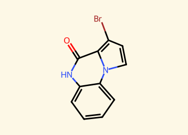 O=c1[nH]c2ccccc2n2ccc(Br)c12